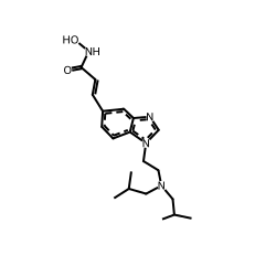 CC(C)CN(CCn1cnc2cc(C=CC(=O)NO)ccc21)CC(C)C